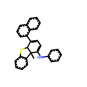 CC12C(Nc3ccccc3)=CC=C(c3cccc4ccccc34)C1Sc1ccccc12